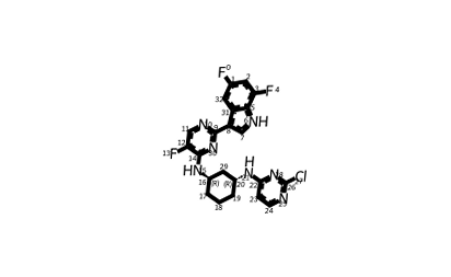 Fc1cc(F)c2[nH]cc(-c3ncc(F)c(N[C@@H]4CCC[C@@H](Nc5ccnc(Cl)n5)C4)n3)c2c1